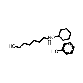 OC1CCCCC1.OCCCCCCO.Oc1ccccc1